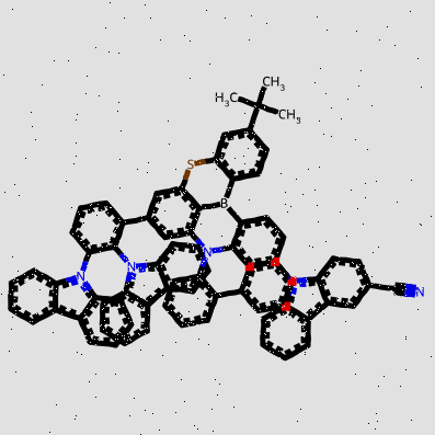 CC(C)(C)c1ccc2c(c1)Sc1cc(-c3cccc(-n4c5ccccc5c5ccccc54)c3-n3c4ccccc4c4ccccc43)cc3c1B2c1ccc(-n2c4ccccc4c4cc(C#N)ccc42)cc1N3c1ccccc1-c1ccccc1